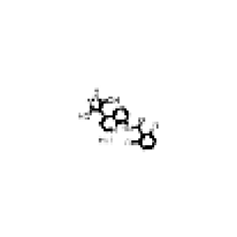 Cl.O=C(Nc1cccc2c(-c3c(O)n[nH]c3O)ccnc12)c1c(Cl)cccc1Cl